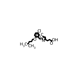 Cc1cc(CCC(=O)O)nn1Cc1cc(Cl)ccc1OCCCC(C)C